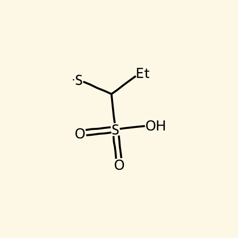 CCC([S])S(=O)(=O)O